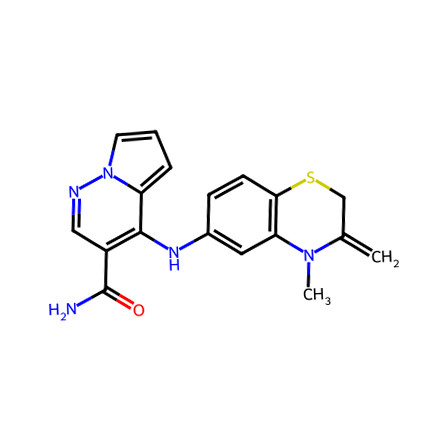 C=C1CSc2ccc(Nc3c(C(N)=O)cnn4cccc34)cc2N1C